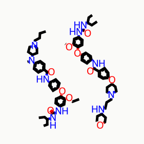 CCC(CC)NC(=O)Nc1ccc(Oc2ccc(NC(=O)c3ccc(OC4CCN(CCCNC5CCOCC5)CC4)cc3)cc2)c(OC)c1.CCCCN1CCC(N(C)c2ccc(C(=O)Nc3ccc(Oc4ccc(NC(=O)NC(CC)CC)cc4OCC)cc3)cc2)CC1